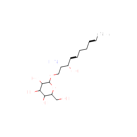 CCCCCCCCCC=CCC/C=C/[C@@H](O)[C@@H](N)COC1OC(CO)C(O)C(O)C1O